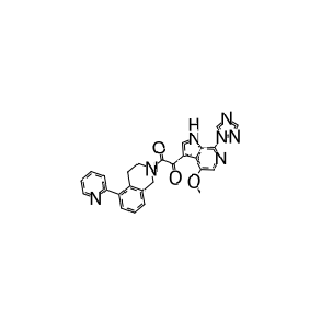 COc1cnc(-n2cncn2)c2[nH]cc(C(=O)C(=O)N3CCc4c(cccc4-c4ccccn4)C3)c12